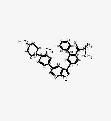 Cc1cc(-c2cnc3[nH]cc(-c4ccc(C(=O)N(C)C)c(-c5ccccc5)c4)c3c2)ccc1N1CCN(C)CC1